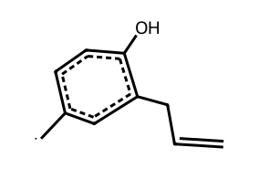 [CH2]c1ccc(O)c(CC=C)c1